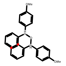 COc1ccc([SiH](O[SiH](c2ccccc2)c2ccc(OC)cc2)c2ccccc2)cc1